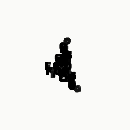 Cc1cc(C(F)(F)F)n(CC(C(=O)C(Cn2nc(C)cc2C(F)(F)F)N2CCC(c3nc(C4=NO[C@@H](c5ccccc5)C4)cs3)CC2)N2CCC(c3nc(C4=NO[C@@H](c5ccccc5)C4)cs3)CC2)n1